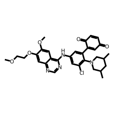 COCCOc1cc2ncnc(Nc3cc(Cl)c(N4CC(C)CC(C)C4)c(C4=CC(=O)C=CC4=O)c3)c2cc1OC